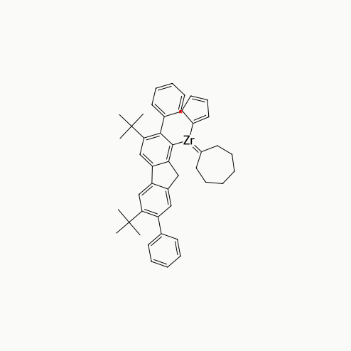 CC(C)(C)c1cc2c(cc1-c1ccccc1)Cc1c-2cc(C(C)(C)C)c(-c2ccccc2)[c]1[Zr]([C]1=CC=CC1)=[C]1CCCCCC1